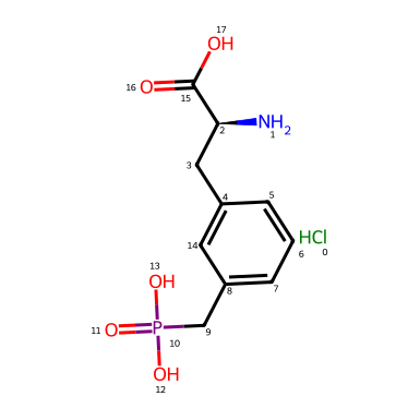 Cl.N[C@@H](Cc1cccc(CP(=O)(O)O)c1)C(=O)O